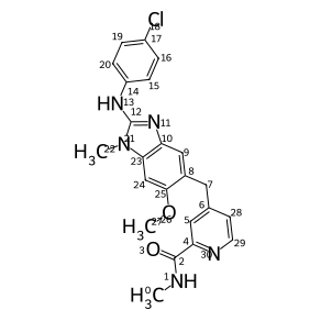 CNC(=O)c1cc(Cc2cc3nc(Nc4ccc(Cl)cc4)n(C)c3cc2OC)ccn1